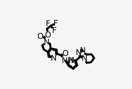 O=C(Nc1cccc(-c2nnc3n2CCCC3)n1)c1cc2c(cn1)CCN(C(=O)OCC(F)(F)F)C2